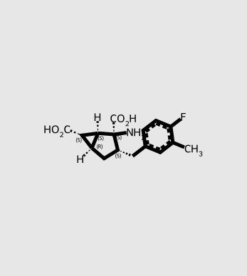 Cc1cc(C[C@@H]2C[C@H]3[C@H](C(=O)O)[C@H]3[C@]2(N)C(=O)O)ccc1F